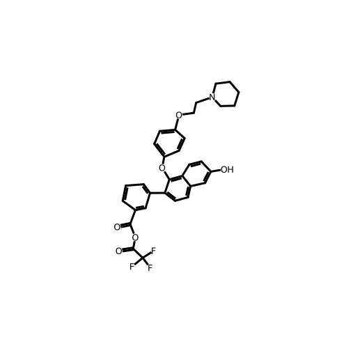 O=C(OC(=O)C(F)(F)F)c1cccc(-c2ccc3cc(O)ccc3c2Oc2ccc(OCCN3CCCCC3)cc2)c1